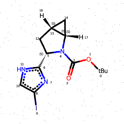 CC(C)(C)OC(=O)N1[C@H](c2nc(I)c[nH]2)C[C@@H]2C[C@@H]21